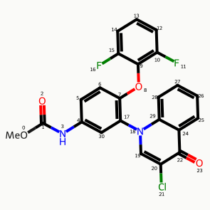 COC(=O)Nc1ccc(Oc2c(F)cccc2F)c(-n2cc(Cl)c(=O)c3ccccc32)c1